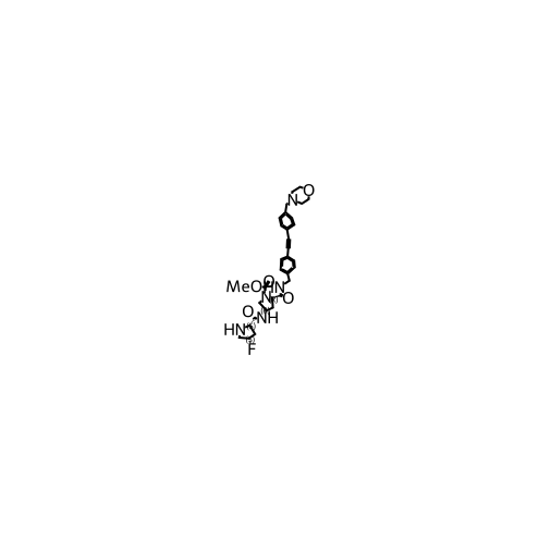 COC(=O)N1C[C@H](NC(=O)[C@@H]2C[C@H](F)CN2)C[C@@H]1C(=O)NCc1ccc(C#Cc2ccc(CN3CCOCC3)cc2)cc1